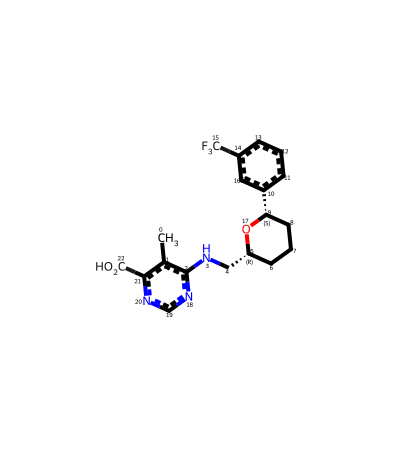 Cc1c(NC[C@H]2CCC[C@@H](c3cccc(C(F)(F)F)c3)O2)ncnc1C(=O)O